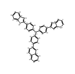 c1csc2cc(-c3ccc(N(c4ccc(-c5ccc6ccccc6c5)cc4)c4ccc(-c5nc6ccccc6s5)cc4)cc3)cc-2c1